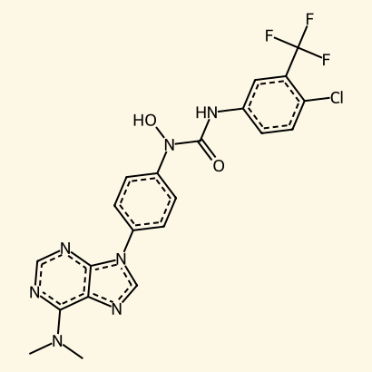 CN(C)c1ncnc2c1ncn2-c1ccc(N(O)C(=O)Nc2ccc(Cl)c(C(F)(F)F)c2)cc1